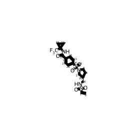 C=CS(=O)(=O)NC[C@H]1CCN(S(=O)(=O)c2ccc(C(=O)NC3(C(F)(F)F)CC3)cc2)C1